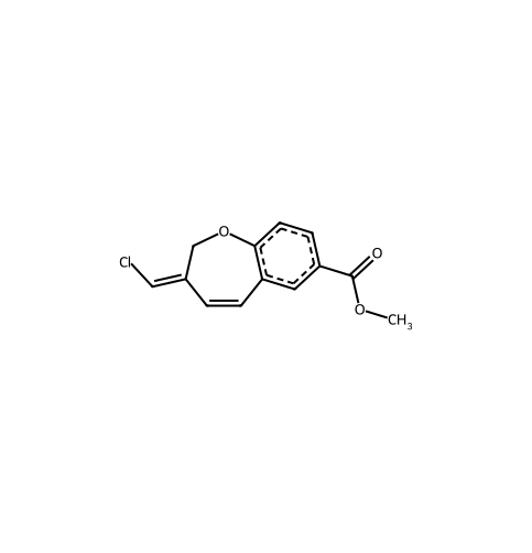 COC(=O)c1ccc2c(c1)C=CC(=CCl)CO2